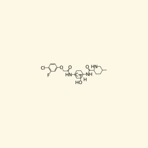 CC1CCC(C(=O)NC23CCC(NC(=O)COc4ccc(Cl)c(F)c4)(CC2)C[C@@H]3O)NC1